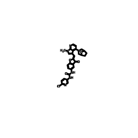 Cn1cc(C=C2Oc3ccc(NC(=O)Nc4ccc(Cl)nc4)cc3C2=O)c2c(N3CC4CCC(C3)O4)ccnc21